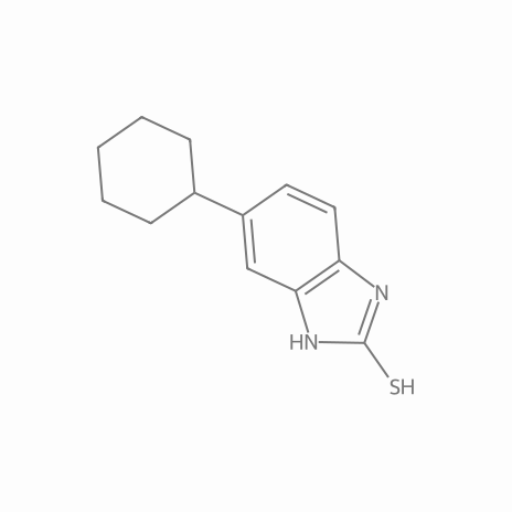 Sc1nc2ccc(C3CCCCC3)cc2[nH]1